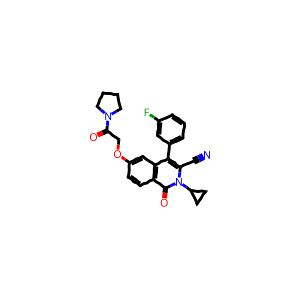 N#Cc1c(-c2cccc(F)c2)c2cc(OCC(=O)N3CCCC3)ccc2c(=O)n1C1CC1